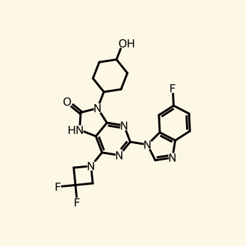 O=c1[nH]c2c(N3CC(F)(F)C3)nc(-n3cnc4ccc(F)cc43)nc2n1C1CCC(O)CC1